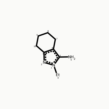 CCn1nc2c(c1N)CCCC2